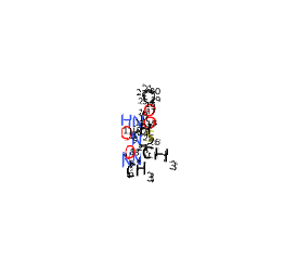 CC1=C(c2nc(C)no2)N2C(=O)C(NC(=O)COc3ccccc3)[C@H]2SC1